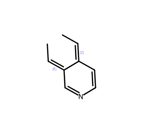 C/C=c1/ccnc/c1=C/C